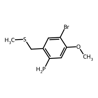 COc1cc(P)c(CSC)cc1Br